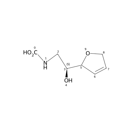 O=C(O)NC[C@H](O)C1C=CCO1